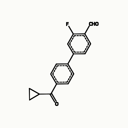 O=Cc1ccc(-c2ccc(C(=O)C3CC3)cc2)cc1F